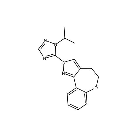 CC(C)n1ncnc1-n1cc2c(n1)-c1ccccc1OCC2